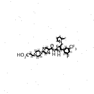 CC1CCCN1CC1=C(c2cc(F)cc(C(F)(F)F)c2)NC(NC(=O)c2cnc(N3CCN(CCC(=O)O)CC3)cn2)S1